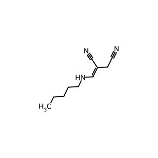 CCCCCNC=C(C#N)CC#N